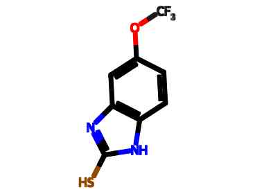 FC(F)(F)Oc1ccc2[nH]c(S)nc2c1